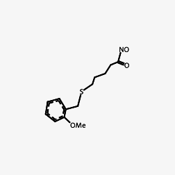 COc1ccccc1CSCCCCC(=O)N=O